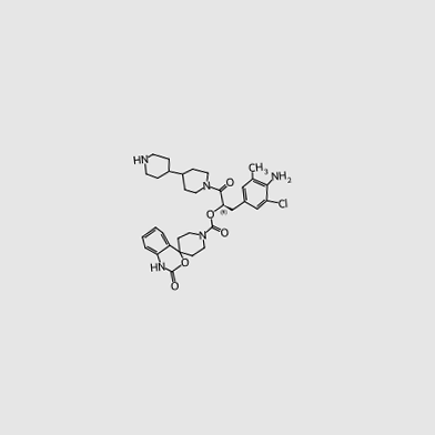 Cc1cc(C[C@@H](OC(=O)N2CCC3(CC2)OC(=O)Nc2ccccc23)C(=O)N2CCC(C3CCNCC3)CC2)cc(Cl)c1N